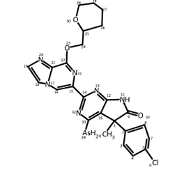 CC1(c2ccc(Cl)cc2)C(=O)Nc2nc(-c3cn4ccnc4c(OCC4CCCCO4)n3)nc([AsH2])c21